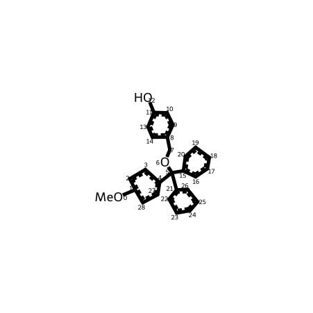 COc1ccc(C(OCc2ccc(O)cc2)(c2ccccc2)c2ccccc2)cc1